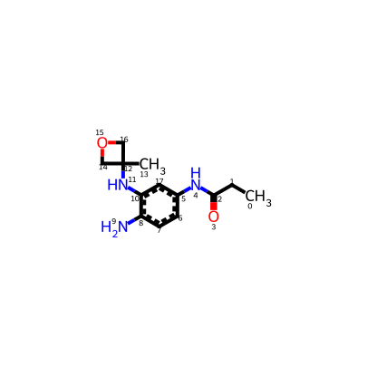 CCC(=O)Nc1ccc(N)c(NC2(C)COC2)c1